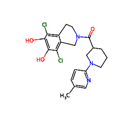 Cc1ccc(N2CCCC(C(=O)N3CCc4c(Cl)c(O)c(O)c(Cl)c4C3)C2)nc1